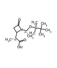 C[C@@H](C(=O)O)C1CC(=O)N1[C@@H](C)O[Si](C)(C)C(C)(C)C